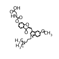 COc1ccc2c(c1)c(C=C1Oc3cc(OC(=O)NCC(=O)O)ccc3C1=O)cn2CCCN(C)C